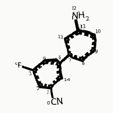 N#Cc1cc(F)cc(-c2cccc(N)c2)c1